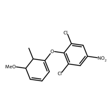 COC1C=CC=C(Oc2c(Cl)cc([N+](=O)[O-])cc2Cl)C1C